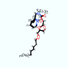 CCCCCCCCCCCCCCCCOCC1COC(COC(=O)N(Cc2ccccn2)C(=O)OCC)O1